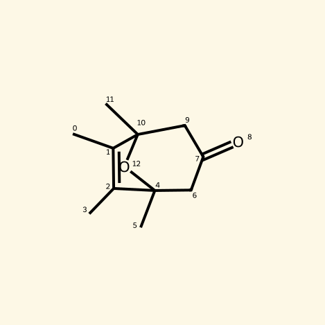 CC1=C(C)C2(C)CC(=O)CC1(C)O2